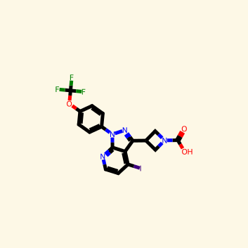 O=C(O)N1CC(c2nn(-c3ccc(OC(F)(F)F)cc3)c3nccc(I)c23)C1